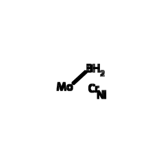 [BH2][Mo].[Cr].[Ni]